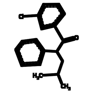 CC(C)CC(C(=O)c1cccc(Cl)c1)c1ccccc1